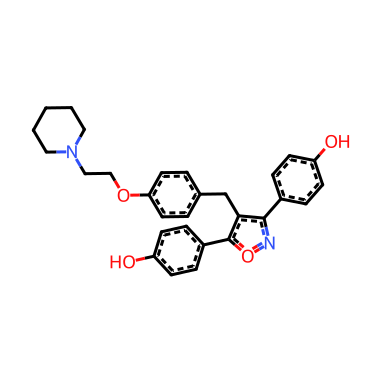 Oc1ccc(-c2noc(-c3ccc(O)cc3)c2Cc2ccc(OCCN3CCCCC3)cc2)cc1